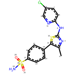 Cc1nc(Nc2ccc(Cl)cn2)sc1-c1ccc(S(N)(=O)=O)cc1